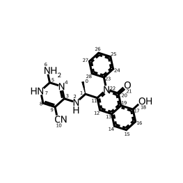 C[C@H](NC1=NC(N)NC=C1C#N)c1cc2cccc(O)c2c(=O)n1-c1ccccc1